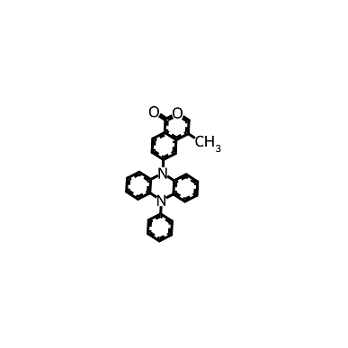 Cc1coc(=O)c2ccc(N3c4ccccc4N(c4ccccc4)c4ccccc43)cc12